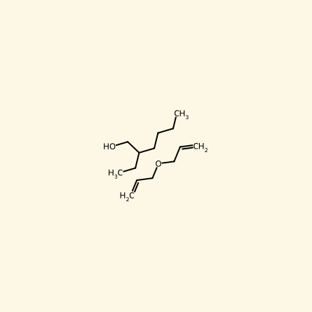 C=CCOCC=C.CCCCC(CC)CO